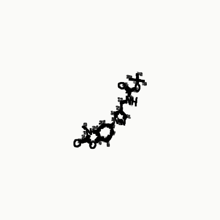 Cn1c(=O)oc2ccc(-n3cc(CNC(=O)OC(C)(C)C)cn3)cc21